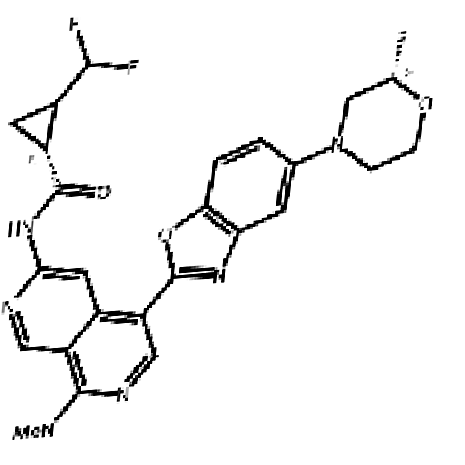 CNc1ncc(-c2nc3cc(N4CCO[C@@H](C)C4)ccc3o2)c2cc(NC(=O)[C@@H]3CC3C(F)F)ncc12